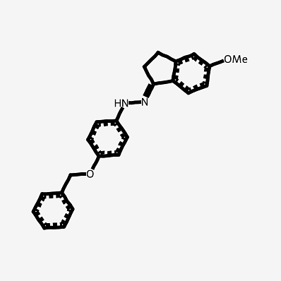 COc1ccc2c(c1)CCC2=NNc1ccc(OCc2ccccc2)cc1